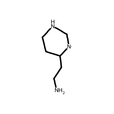 NCCC1CCNC[N]1